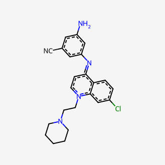 N#Cc1cc(N)cc(N=c2ccn(CCN3CCCCC3)c3cc(Cl)ccc23)c1